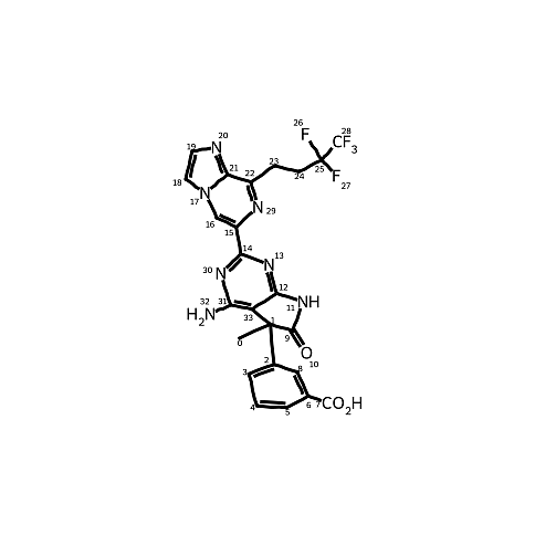 CC1(c2cccc(C(=O)O)c2)C(=O)Nc2nc(-c3cn4ccnc4c(CCC(F)(F)C(F)(F)F)n3)nc(N)c21